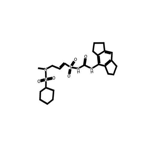 CN(C/C=C/S(=O)(=O)NC(=O)Nc1c2c(cc3c1CCC3)CCC2)S(=O)(=O)C1CCCCC1